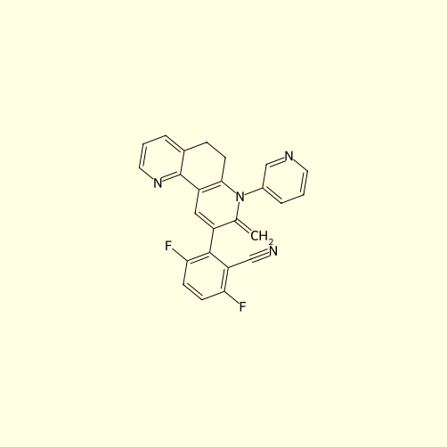 C=C1C(c2c(F)ccc(F)c2C#N)=CC2=C(CCc3cccnc32)N1c1cccnc1